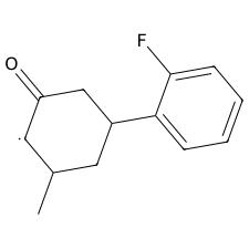 CC1[CH]C(=O)CC(c2ccccc2F)C1